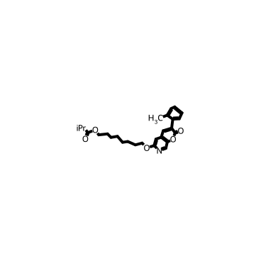 Cc1ccccc1-c1cc2cc(OCCCCCCCCOC(=O)C(C)C)ncc2oc1=O